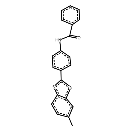 Cc1ccc2sc(-c3ccc(NC(=O)c4ccccc4)cc3)nc2c1